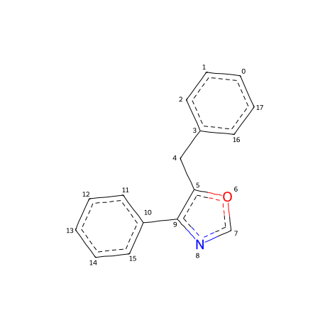 c1ccc(Cc2ocnc2-c2ccccc2)cc1